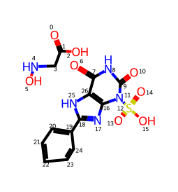 O=C(O)CNO.O=c1[nH]c(=O)n(S(=O)(=O)O)c2nc(-c3ccccc3)[nH]c12